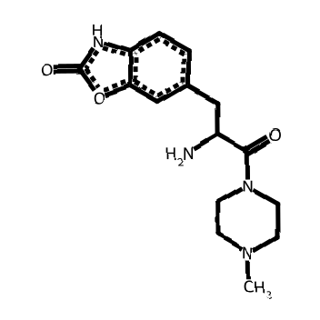 CN1CCN(C(=O)C(N)Cc2ccc3[nH]c(=O)oc3c2)CC1